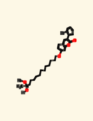 CCO[Si](C)(CCCCCCCCCCCCOc1ccc2cc(-c3ccccc3CC)c(=O)oc2c1)OCC